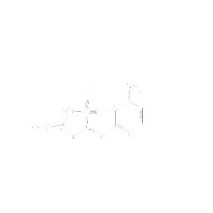 Nc1cccc(CN2CC(C=O)NS2(=O)=O)c1